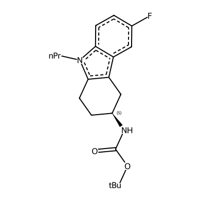 CCCn1c2c(c3cc(F)ccc31)C[C@@H](NC(=O)OC(C)(C)C)CC2